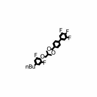 CCCCc1cc(F)c(OCC2COC(c3ccc(-c4cc(F)c(F)c(F)c4)cc3)OC2)c(F)c1